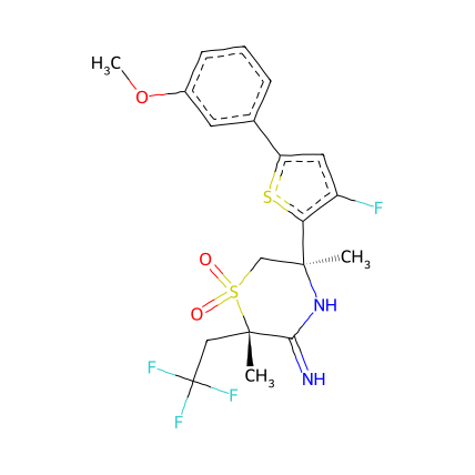 COc1cccc(-c2cc(F)c([C@]3(C)CS(=O)(=O)[C@@](C)(CC(F)(F)F)C(=N)N3)s2)c1